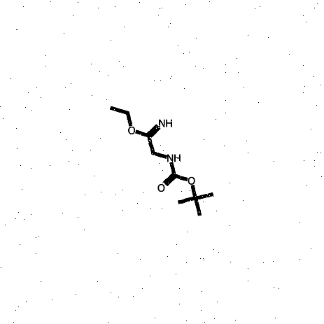 CCOC(=N)CNC(=O)OC(C)(C)C